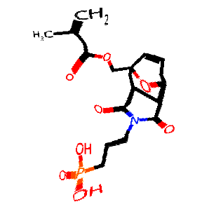 C=C(C)C(=O)OCC12C=CC(O1)C1C(=O)N(CCCP(=O)(O)O)C(=O)C12